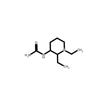 CCC1C(NC(N)=O)CCCN1CC